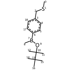 CSCc1ccc(B(C)OC(C)(C)C(C)(C)C)cc1